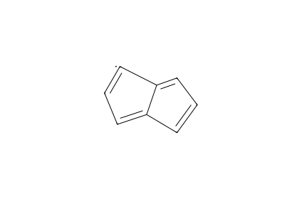 [C]1=CC=C2C=CC=C12